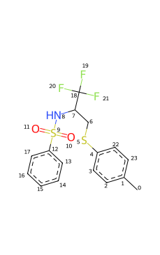 Cc1ccc(SCC(NS(=O)(=O)c2ccccc2)C(F)(F)F)cc1